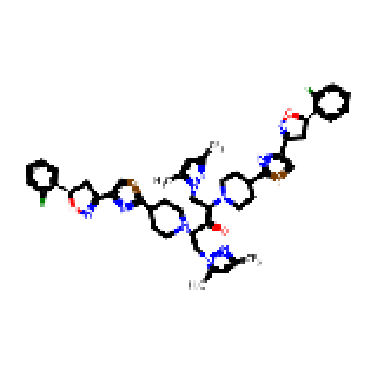 Cc1cc(C(F)(F)F)nn1CC(C(=O)C(Cn1nc(C(F)(F)F)cc1C)N1CCC(c2nc(C3=NO[C@@H](c4ccccc4F)C3)cs2)CC1)N1CCC(c2nc(C3=NO[C@@H](c4ccccc4F)C3)cs2)CC1